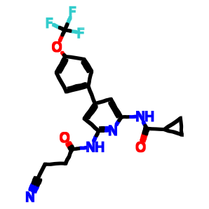 N#CCCC(=O)Nc1cc(-c2ccc(OC(F)(F)F)cc2)cc(NC(=O)C2CC2)n1